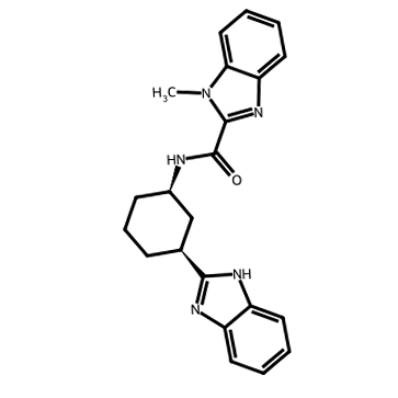 Cn1c(C(=O)N[C@@H]2CCC[C@H](c3nc4ccccc4[nH]3)C2)nc2ccccc21